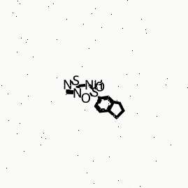 O=S(=O)(Nc1ncns1)c1ccc2c(c1)CCC2